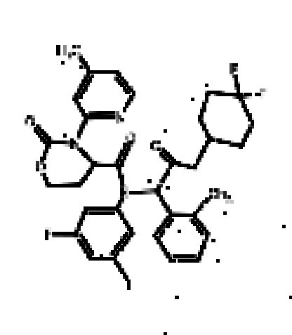 Cc1ccnc(N2C(=O)OCCC2C(=O)N(c2cc(F)cc(F)c2)C(C(=O)CC2CCC(F)(F)CC2)c2ccccc2C)c1